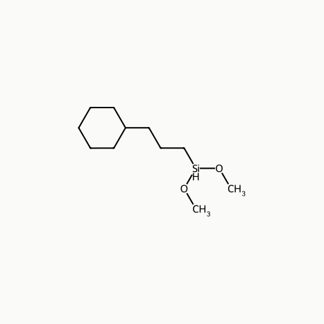 CO[SiH](CCCC1CCCCC1)OC